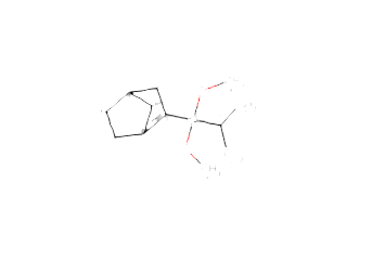 CO[Si](OC)(C1=C2CCC(C2)C1)C(C)C